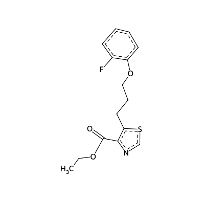 CCOC(=O)c1ncsc1CCCOc1ccccc1F